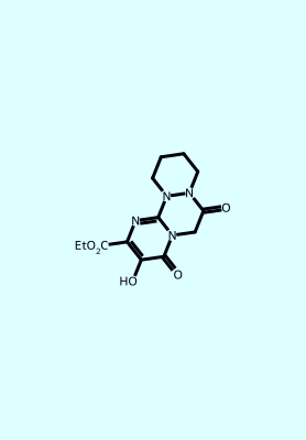 CCOC(=O)c1nc2n(c(=O)c1O)CC(=O)N1CCCCN21